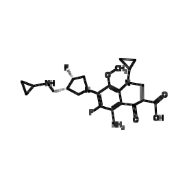 COc1c(N2C[C@H](CNC3CC3)[C@H](F)C2)c(F)c(N)c2c(=O)c(C(=O)O)cn(C3CC3)c12